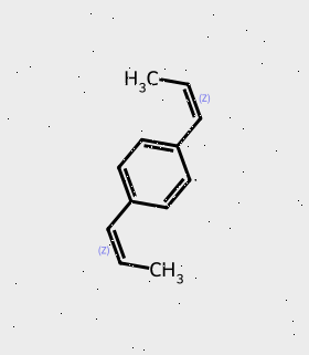 C/C=C\c1[c]cc(/C=C\C)cc1